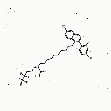 O=C(O)C(CCCCCCCCCCc1c(-c2ccc(O)cc2F)ccc2cc(O)ccc12)CCCC(F)(F)C(F)(F)F